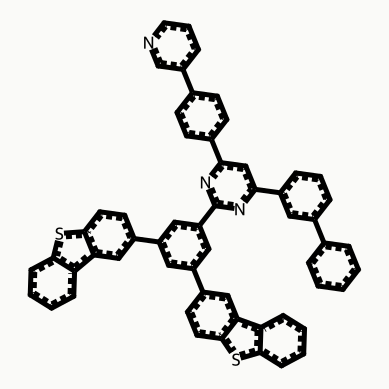 c1ccc(-c2cccc(-c3cc(-c4ccc(-c5cccnc5)cc4)nc(-c4cc(-c5ccc6sc7ccccc7c6c5)cc(-c5ccc6sc7ccccc7c6c5)c4)n3)c2)cc1